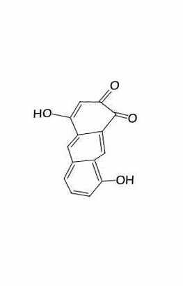 O=C1C=C(O)c2cc3cccc(O)c3cc2C1=O